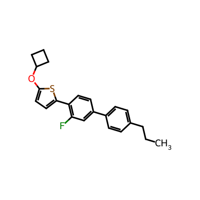 CCCc1ccc(-c2ccc(-c3ccc(OC4CCC4)s3)c(F)c2)cc1